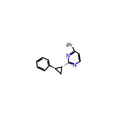 CC(C)c1ccnc([C@@H]2C[C@H]2c2ccccc2)n1